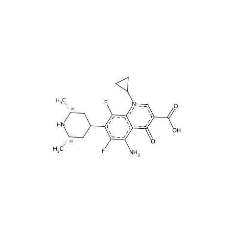 C[C@@H]1CC(c2c(F)c(N)c3c(=O)c(C(=O)O)cn(C4CC4)c3c2F)C[C@H](C)N1